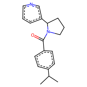 CC(C)c1ccc(C(=O)N2CCCC2c2cccnc2)cc1